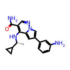 C[C@@H](Nc1c(C(N)=O)cnn2cc(-c3cccc(N)c3)cc12)C1CC1